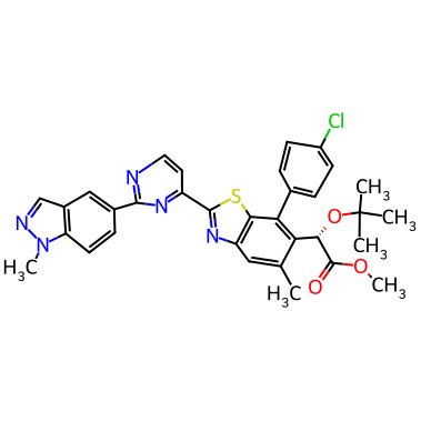 COC(=O)[C@@H](OC(C)(C)C)c1c(C)cc2nc(-c3ccnc(-c4ccc5c(cnn5C)c4)n3)sc2c1-c1ccc(Cl)cc1